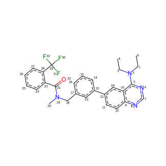 CCN(CC)c1ncnc2ccc(-c3cccc(CN(C)C(=O)c4ccccc4C(F)(F)F)c3)cc12